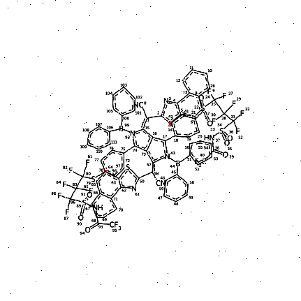 N#C/C(c1nc2c(ccc3ccccc32)s1)=c1/c2c(-c3ccc(S(=O)(=O)C(F)(F)C(F)(F)C(F)(F)S(=O)(=O)NC(=O)C(F)(F)F)cc3)n(B(c3ccccc3)c3ccccc3)/c(=C(\C#N)c3nc4c(ccc5ccccc54)s3)c2c(-c2ccc(SC(F)(F)C(F)(F)C(F)(F)S(=O)(=O)NC(=O)C(F)(F)F)cc2)n1B(c1ccccc1)c1ccccc1